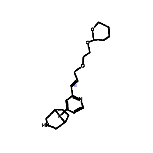 C(=C\c1cc(N2C3CCC2CNC3)ccn1)/COCCOC1CCCCO1